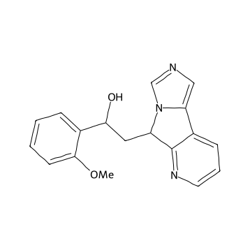 COc1ccccc1C(O)CC1c2ncccc2-c2cncn21